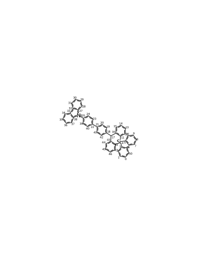 c1ccc([Si]2(c3ccccc3)c3ccccc3C(c3ccc(-c4ccc(-n5c6ccccc6c6ccccc65)cc4)cc3)c3ccccc32)cc1